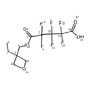 CCC1(COC(=O)C(F)(F)C(F)(F)C(F)(F)C(=O)O)COC1